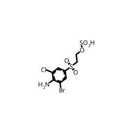 Nc1c(Cl)cc(S(=O)(=O)CCOS(=O)(=O)O)cc1Br